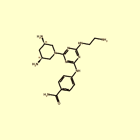 NCCNc1nc(Nc2ccc(C(N)=O)cc2)nc(N2C[C@H](N)C[C@H](N)C2)n1